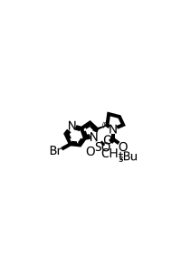 CC(C)(C)OC(=O)N1CCC[C@@H]1c1cc2ncc(Br)cc2n1S(C)(=O)=O